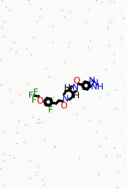 O=C(CCc1ccc(OCC(F)(F)F)cc1F)N1CC[C@@H]2CN(C(=O)c3ccc4[nH]nnc4c3)C[C@@H]2CC1